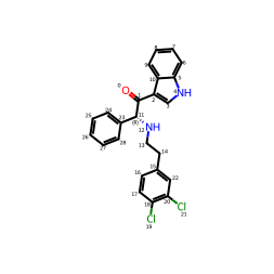 O=C(c1c[nH]c2ccccc12)[C@H](NCCc1ccc(Cl)c(Cl)c1)c1ccccc1